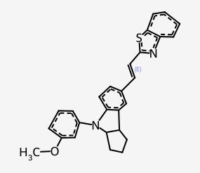 COc1cccc(N2c3ccc(/C=C/c4nc5ccccc5s4)cc3C3CCCC32)c1